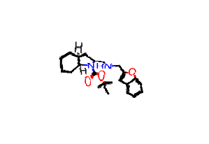 CC(C)(C)OC(=O)N1[C@H](CNCc2cc3ccccc3o2)C[C@@H]2CCCC[C@@H]21